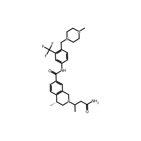 CC(CC(N)=O)N1Cc2cc(C(=O)Nc3ccc(CN4CCN(C)CC4)c(C(F)(F)F)c3)ccc2[C@@H](C)C1